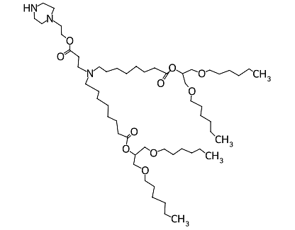 CCCCCCOCC(COCCCCCC)OC(=O)CCCCCCCN(CCCCCCCC(=O)OC(COCCCCCC)COCCCCCC)CCC(=O)OCCN1CCNCC1